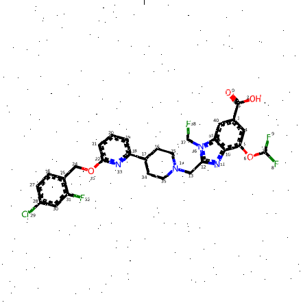 O=C(O)c1cc(OC(F)F)c2nc(CN3CCC(c4cccc(OCc5ccc(Cl)cc5F)n4)CC3)n(CF)c2c1